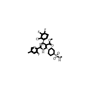 CNS(=O)(=O)[C@H]1CC[C@H](C2=C(C(=O)OC)[C@H](c3ccc(F)c(F)c3Cl)N=C(c3ncc(C)cc3F)N2)CC1